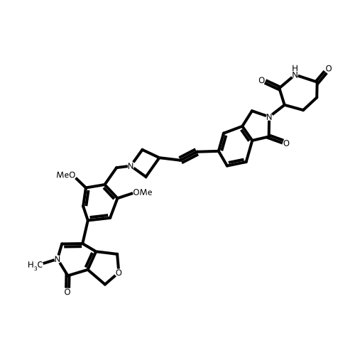 COc1cc(-c2cn(C)c(=O)c3c2COC3)cc(OC)c1CN1CC(C#Cc2ccc3c(c2)CN(C2CCC(=O)NC2=O)C3=O)C1